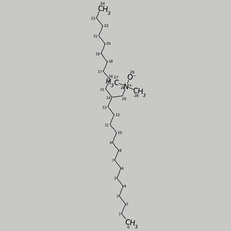 CCCCCCCCCCCCCCC(CCCCCCCCCC)C[N+](C)(C)[O-]